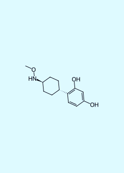 CON[C@H]1CC[C@H](c2ccc(O)cc2O)CC1